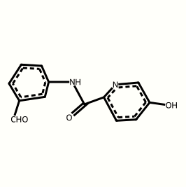 O=Cc1cccc(NC(=O)c2ccc(O)cn2)c1